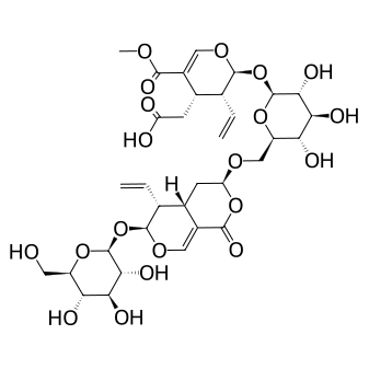 C=C[C@H]1[C@H](O[C@@H]2O[C@H](CO[C@@H]3C[C@@H]4C(=CO[C@@H](O[C@@H]5O[C@H](CO)[C@@H](O)[C@H](O)[C@H]5O)[C@@H]4C=C)C(=O)O3)[C@@H](O)[C@H](O)[C@H]2O)OC=C(C(=O)OC)[C@H]1CC(=O)O